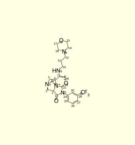 O=C1C2C[N@@]3CC(C(=S)NCCCN4CCOCC4)[N+]2(C3)C(=O)N1c1cccc(C(F)(F)F)c1